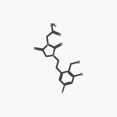 NC(=O)CN1C(=O)CN(CCc2cc(F)cc(Cl)c2CCl)C1=O